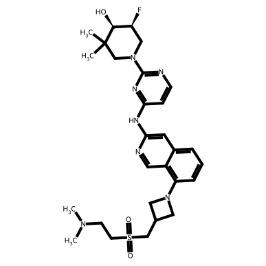 CN(C)CCS(=O)(=O)CC1CN(c2cccc3cc(Nc4ccnc(N5C[C@H](F)[C@H](O)C(C)(C)C5)n4)ncc23)C1